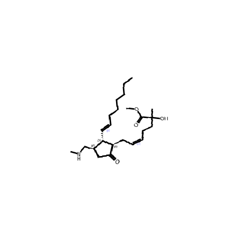 CCCCCC/C=C/[C@H]1[C@H](CNC)CC(=O)[C@@H]1C/C=C\CCC(C)(O)C(=O)OC